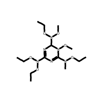 CCON(C)C1=NC(N(OCC)OCC)=NC(N(OC)OCC)N1OC